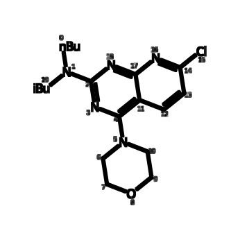 CCCCN(c1nc(N2CCOCC2)c2ccc(Cl)nc2n1)C(C)CC